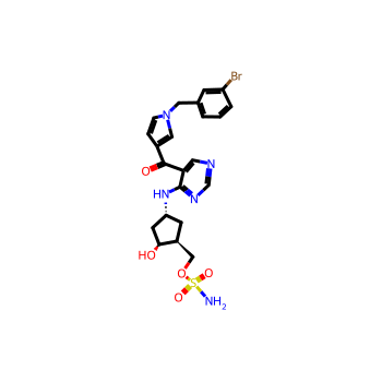 NS(=O)(=O)OC[C@@H]1C[C@@H](Nc2ncncc2C(=O)c2ccn(Cc3cccc(Br)c3)c2)C[C@@H]1O